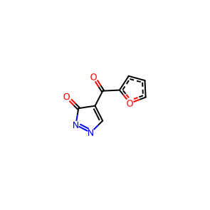 O=C1N=NC=C1C(=O)c1ccco1